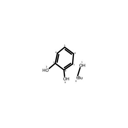 CC(C)(C)O.Oc1ccccc1O